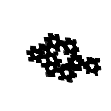 c1ccc(-c2nc(-c3cccc(-c4cccc(-c5nc6ccccc6c6c5ccc5ccccc56)c4)c3)nc(-c3ccccn3)n2)nc1